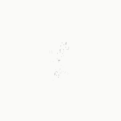 CCCP(=O)(CCOc1cc2c(cc1OC)C(=O)N1CC(F)C[C@H]1C=N2)CCOc1cc2c(cc1OC)C(=O)N1CC(F)C[C@H]1CN2